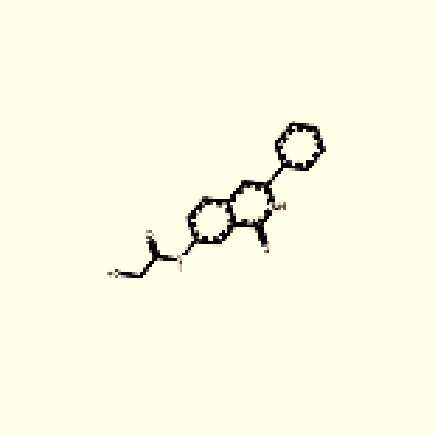 O=C(CO)Nc1ccc2cc(-c3ccccc3)[nH]c(=O)c2c1